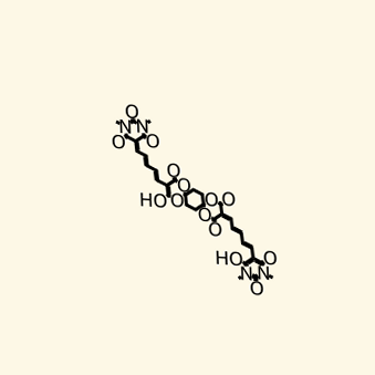 CN1C(=O)C(=C/C=C/C=C/C2=C(O)OC3(CCC4(CC3)OC(=O)C(=C/C=C/C=C/c3c(O)n(C)c(=O)n(C)c3=O)C(=O)O4)OC2=O)C(=O)N(C)C1=O